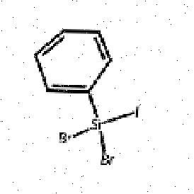 Br[Si](Br)(I)c1ccccc1